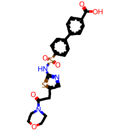 O=C(O)c1ccc(-c2ccc(S(=O)(=O)Nc3ncc(CC(=O)N4CCOCC4)s3)cc2)cc1